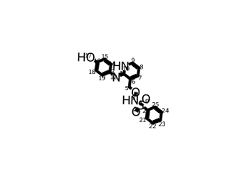 O=S(=O)(NOCc1ccc[nH]/c1=N\c1ccc(O)cc1)c1ccccc1